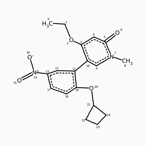 CCOc1cc(=O)n(C)cc1-c1cc([N+](=O)[O-])ccc1OC1CCC1